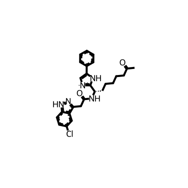 CC(=O)CCCCC[C@H](NC(=O)Cc1n[nH]c2ccc(Cl)cc12)C1=[N+]C=C(c2ccccc2)N1